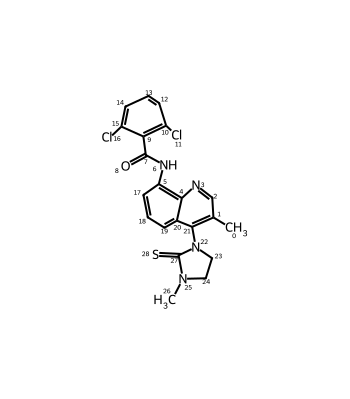 Cc1cnc2c(NC(=O)c3c(Cl)cccc3Cl)cccc2c1N1CCN(C)C1=S